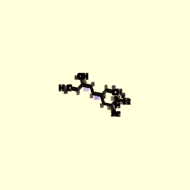 C=C/C(=C\C=C(\O)C=C)CC(NCC)C(C)=O